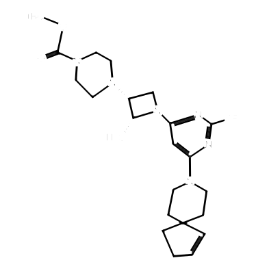 C[C@@H]1[C@H](N2CCN(C(=O)OC(C)(C)C)CC2)CN1c1cc(N2CCC3(C=CCC3)CC2)nc(C(F)(F)F)n1